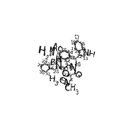 CC(N)=O.CN(C)CCC(=O)N(CCc1c[nH]c2ccccc12)C(C(=O)NCc1ccccc1)c1ccccc1Br